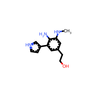 CNc1cc(CCO)cc(-c2cc[nH]c2)c1N